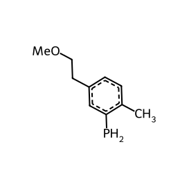 COCCc1ccc(C)c(P)c1